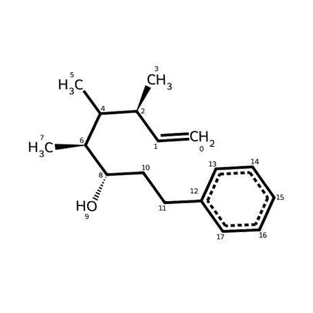 C=C[C@H](C)C(C)[C@H](C)[C@@H](O)CCc1ccccc1